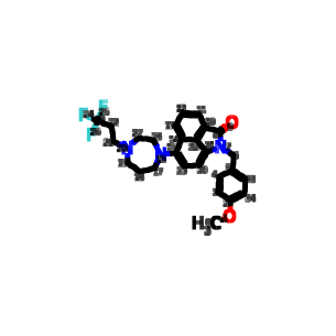 COc1ccc(CN2C(=O)c3cccc4c(N5CCCN(CCC(F)(F)F)CC5)ccc2c34)cc1